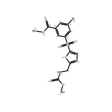 CC(C)(C)OC(=O)NCc1ncc(S(=O)(=O)c2cc(Br)cc(C(=O)OC(C)(C)C)c2)s1